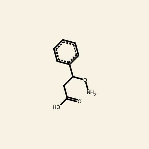 NOC(CC(=O)O)c1ccccc1